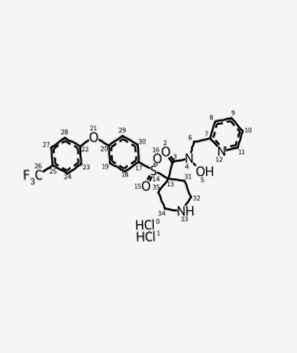 Cl.Cl.O=C(N(O)Cc1ccccn1)C1(S(=O)(=O)c2ccc(Oc3ccc(C(F)(F)F)cc3)cc2)CCNCC1